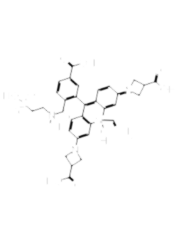 C=C[Si]1(C)C2=CC(=[N+]3CC(C(=O)O)C3)C=CC2=C(c2cc(C(=O)O)ccc2C(=O)N(C)CCS(=O)(=O)O)c2ccc(N3CC(C(=O)O)C3)cc21